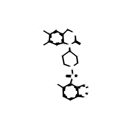 Cc1ccc2nsnc2c1S(=O)(=O)N1CCC(N2C(=O)OCc3cc(F)c(F)cc32)CC1